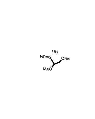 COCC(OC)SC#N.[LiH]